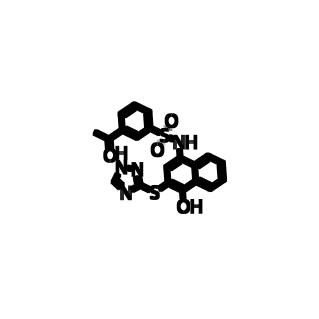 CC(=O)c1cccc(S(=O)(=O)Nc2cc(Sc3nc[nH]n3)c(O)c3ccccc23)c1